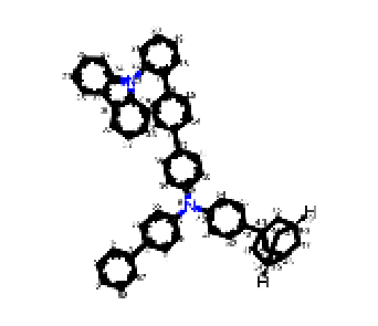 c1ccc(-c2ccc(N(c3ccc(-c4ccc(-c5ccccc5-n5c6ccccc6c6ccccc65)cc4)cc3)c3ccc(C45CC6C[C@H](C[C@H]6C4)C5)cc3)cc2)cc1